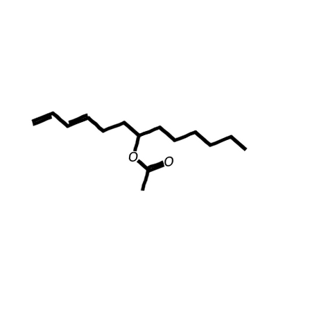 C=CC=CCCC(CCCCCC)OC(C)=O